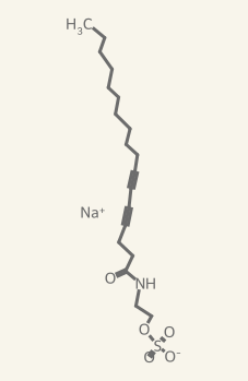 CCCCCCCCCCC#CC#CCCC(=O)NCCOS(=O)(=O)[O-].[Na+]